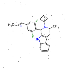 C/C=C/c1cc(F)c(C2c3[nH]c4ccccc4c3CC(C)N2C23CC(C2)C3)c(F)c1